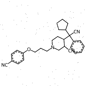 CC1CN(CCCOc2ccc(C#N)cc2)CCC1C(C#N)(c1ccccc1)C1CCCC1